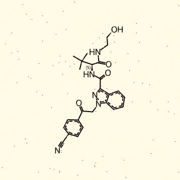 CC(C)(C)[C@H](NC(=O)c1nn(CC(=O)c2ccc(C#N)cc2)c2ccccc12)C(=O)NCCO